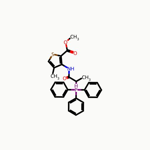 COC(=O)c1scc(C)c1NC(=O)C(C)[PH](c1ccccc1)(c1ccccc1)c1ccccc1